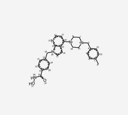 Cc1ccc(CN2CCN(c3ccnc4c3ccn4Cc3ccc(C(=O)NO)cc3)CC2)cc1